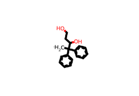 [CH2]C(c1ccccc1)(c1ccccc1)C(O)CCO